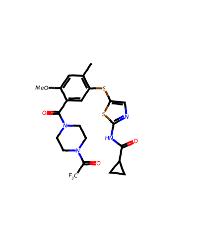 COc1cc(C)c(Sc2cnc(NC(=O)C3CC3)s2)cc1C(=O)N1CCN(C(=O)C(F)(F)F)CC1